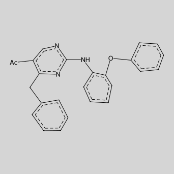 CC(=O)c1cnc(Nc2ccccc2Oc2ccccc2)nc1Cc1ccccc1